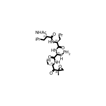 CC(=O)N[C@@H](CC(C)C)C(=O)N[C@@H](CC(C)C)C(=O)N[C@@H](PP)C(=O)N[C@@H](CC(C)C)C(=O)[C@@]1(C)CO1